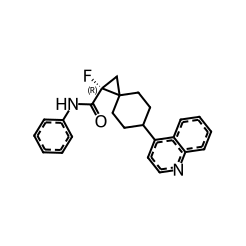 O=C(Nc1ccccc1)[C@@]1(F)CC12CCC(c1ccnc3ccccc13)CC2